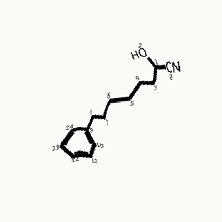 N#CC(O)CCCCCCc1ccccc1